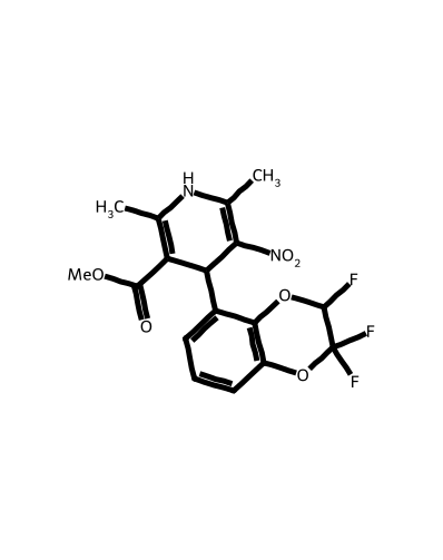 COC(=O)C1=C(C)NC(C)=C([N+](=O)[O-])C1c1cccc2c1OC(F)C(F)(F)O2